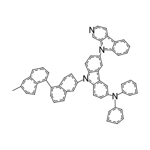 Cc1ccc2c(-c3cccc4cc(-n5c6ccc(N(c7ccccc7)c7ccccc7)cc6c6cc(-n7c8ccccc8c8ccncc87)ccc65)ccc34)cccc2c1